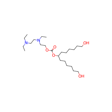 CCN(CC)CCN(CC)CCOC(=O)OC(CCCCCCO)CCCCCCO